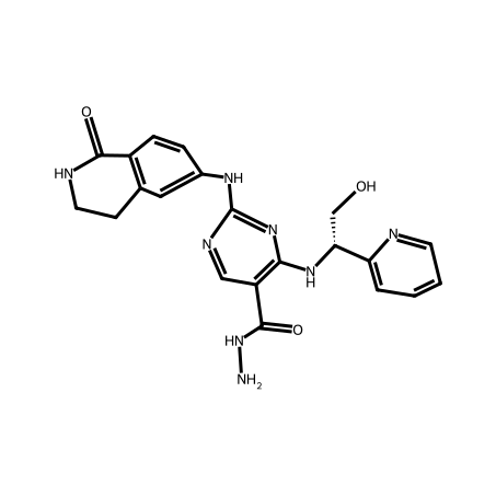 NNC(=O)c1cnc(Nc2ccc3c(c2)CCNC3=O)nc1N[C@H](CO)c1ccccn1